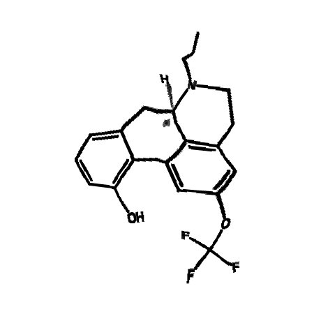 CCN1CCc2cc(OC(F)(F)F)cc3c2[C@H]1Cc1cccc(O)c1-3